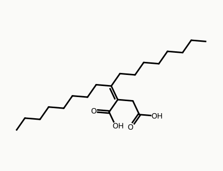 CCCCCCCCC(CCCCCCCC)=C(CC(=O)O)C(=O)O